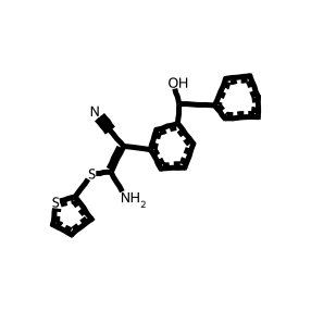 N#C/C(=C(/N)Sc1cccs1)c1cccc(C(O)c2ccccc2)c1